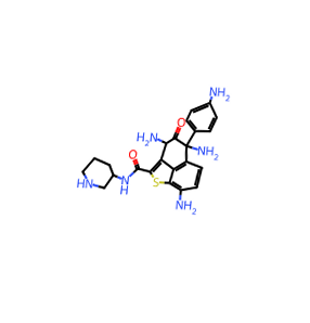 Nc1ccc(C2(N)C(=O)C(N)c3c(C(=O)NC4CCCNC4)sc4c(N)ccc2c34)cc1